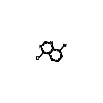 Clc1ncnc2c(Br)cccc12